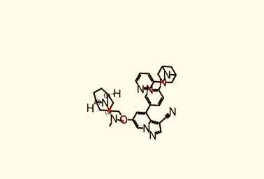 CN(C)[C@@H]1C[C@H]2CC[C@@H](C1)N2CCOc1cc(-c2ccc(N3CC4CC(C3)N4Cc3cccnc3)nc2)c2c(C#N)cnn2c1